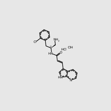 Cl.Cl.NC[C@H](Cc1ccccc1Cl)NC(=O)C=Cc1c[nH]c2ncccc12